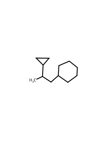 CC(CC1CCCCC1)C1CC1